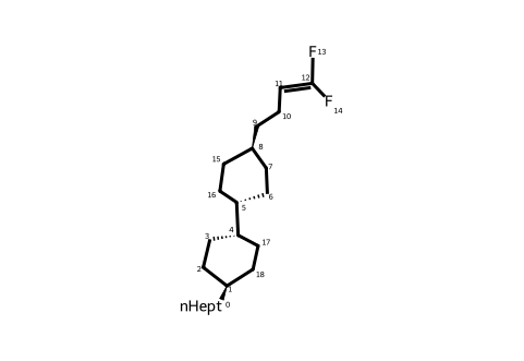 CCCCCCC[C@H]1CC[C@H]([C@H]2CC[C@H](CCC=C(F)F)CC2)CC1